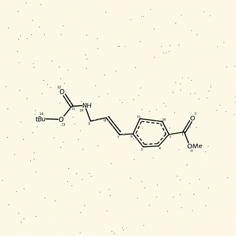 COC(=O)c1ccc(C=CCNC(=O)OC(C)(C)C)cc1